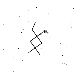 CCC1(N)CC(C)(C)C1